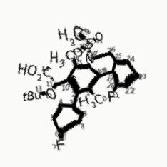 Cc1c(-c2ccc(F)cc2)c([C@H](OC(C)(C)C)C(=O)O)c(C)c2c1-c1c(F)cccc1CN2S(C)(=O)=O